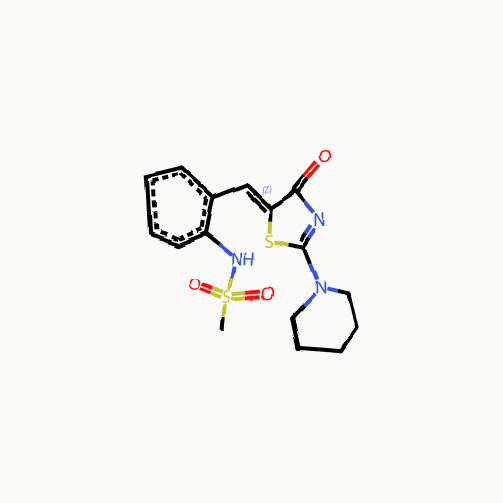 CS(=O)(=O)Nc1ccccc1/C=C1\SC(N2CCCCC2)=NC1=O